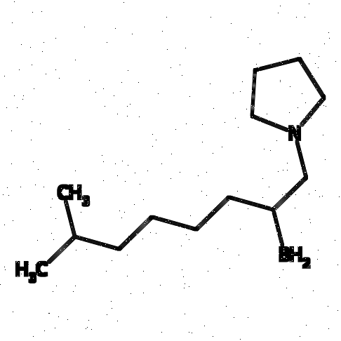 BC(CCCCC(C)C)CN1CCCC1